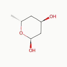 C[C@@H]1C[C@@H](O)C[C@@H](O)O1